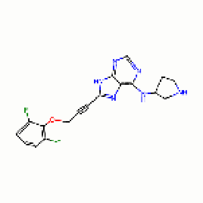 Fc1cccc(F)c1OCC#Cc1nc2c(NC3CCNC3)ncnc2[nH]1